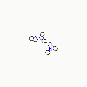 c1ccc(-n2c3ccccc3c3ccc(-c4ccc5c(c4)c4ccccc4n5-c4ccc5ccccc5n4)cc32)cc1